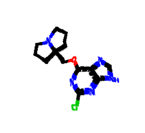 Clc1nc(OCC23CCCN2CCC3)c2nc[nH]c2n1